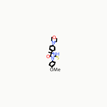 COc1ccc(N2C(=O)C(C)(c3ccc(N4CCOCC4)cc3)NC2=S)cc1